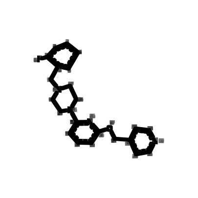 Fc1ccccc1CN1CCN(c2cccc(OCc3ccncc3)n2)CC1